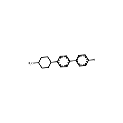 CC1CCC(c2ccc(-c3ccc(I)cc3)cc2)CC1